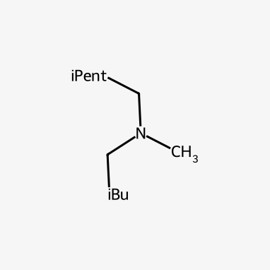 CCCC(C)CN(C)CC(C)CC